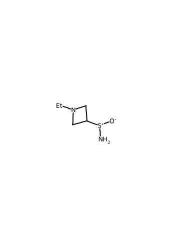 CCN1CC([S+](N)[O-])C1